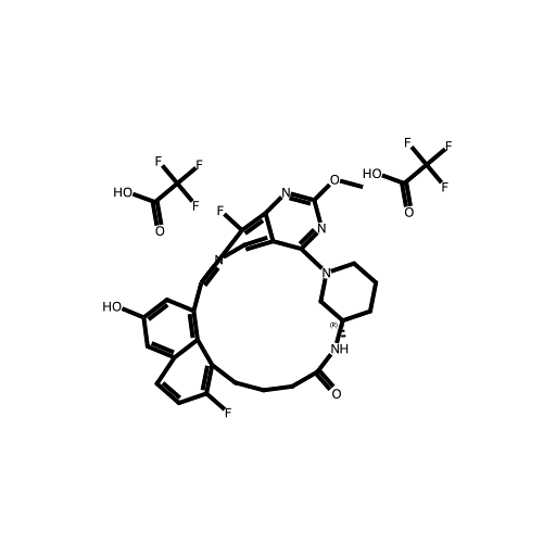 COc1nc2c3cnc(c(F)c3n1)-c1cc(O)cc3ccc(F)c(c13)CCCC(=O)N[C@]1(C)CCCN2C1.O=C(O)C(F)(F)F.O=C(O)C(F)(F)F